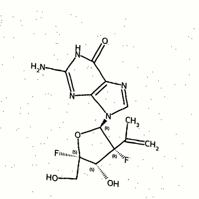 C=C(C)[C@]1(F)[C@H](n2cnc3c(=O)[nH]c(N)nc32)O[C@](F)(CO)[C@H]1O